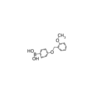 COc1ccccc1COc1ccc(B(O)O)cc1